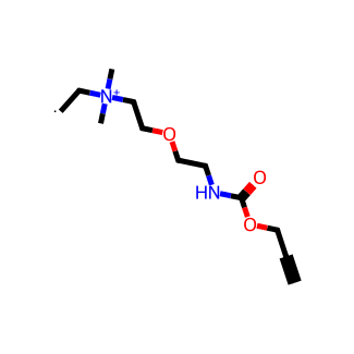 C#CCOC(=O)NCCOCC[N+](C)(C)C[CH2]